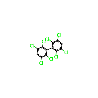 Clc1cc(Cl)c(Cl)c(-c2c(Cl)c(Cl)cc(Cl)c2Cl)c1Cl